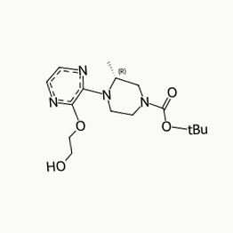 C[C@@H]1CN(C(=O)OC(C)(C)C)CCN1c1nccnc1OCCO